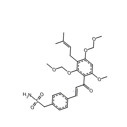 COCOc1cc(OC)c(C(=O)/C=C/c2ccc(CS(N)(=O)=O)cc2)c(OCOC)c1CC=C(C)C